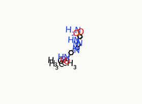 CC(C)(C)OC(=O)NC[C@H]1CC[C@H](Cn2ncc3cnc(Nc4cccc(S(N)(=O)=O)c4)nc32)CC1